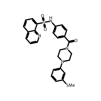 CSc1cccc(N2CCN(C(=O)c3ccc(NS(=O)(=O)c4cccc5cccnc45)cc3)CC2)c1